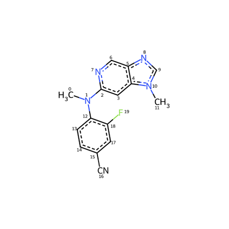 CN(c1cc2c(cn1)ncn2C)c1ccc(C#N)cc1F